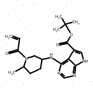 C=CC(=O)N1CC(Nc2ncnc3[nH]cc(C(=O)OC(C)(C)C)c23)CCC1C